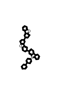 c1ccc(-c2ccc(-n3c4ccccc4c4ccc(-c5ccc6oc7ccc(-c8ccc9oc%10ccccc%10c9c8)cc7c6c5)cc43)cc2)cc1